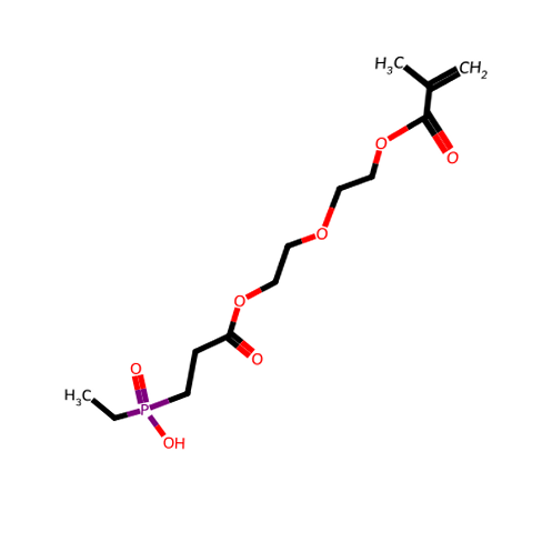 C=C(C)C(=O)OCCOCCOC(=O)CCP(=O)(O)CC